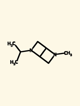 CC(C)N1CC2C1CN2C